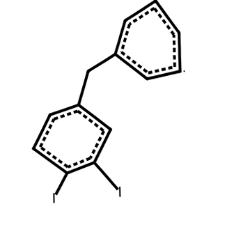 Ic1ccc(Cc2c[c]ccc2)cc1I